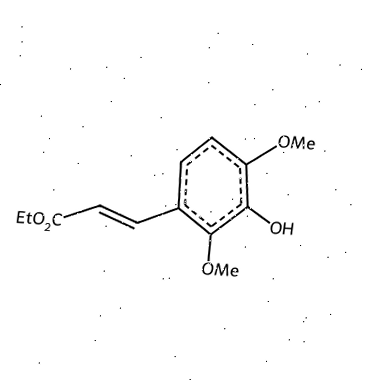 CCOC(=O)C=Cc1ccc(OC)c(O)c1OC